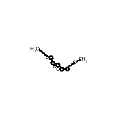 CCCCCCCCOc1cccc(-c2ccc3oc4c(ccc5c6cc(-c7cccc(CCCCOCCCC)c7)ccc6oc54)c3c2)c1